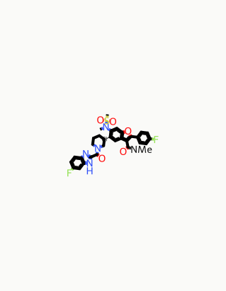 CNC(=O)c1c(-c2ccc(F)cc2)oc2cc(N(C)S(C)(=O)=O)c([C@H]3CCCN(C(=O)c4nc5ccc(F)cc5[nH]4)C3)cc12